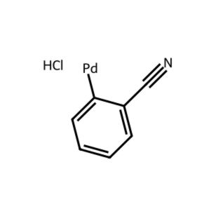 Cl.N#Cc1cccc[c]1[Pd]